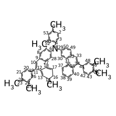 Cc1ccc(N(c2ccc(/C=C(\C3=CC(C)CC=C3)c3ccc(C)c(C)c3)cc2)c2ccc(/C=C(\c3ccccc3)c3ccc(C)c(C)c3)cc2)c(C)c1